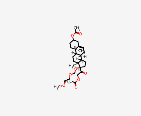 COCCOCO[C@]1(C(=O)COC(C)=O)CC[C@H]2[C@@H]3CC=C4CC(OC(C)=O)CC[C@]4(C)[C@H]3CC[C@@]21C